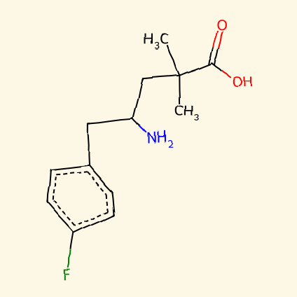 CC(C)(CC(N)Cc1ccc(F)cc1)C(=O)O